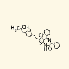 CC(C)Cc1ccc(CCc2cc3c(s2)NC(=O)C(c2ccccc2)N=C3c2ccccc2Cl)cc1